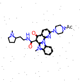 CC(=O)N1CCN(c2ccc3c(=O)c(C(=O)NCCC4CCCN4C)c4n(C)c5ccccc5n4c3n2)CC1